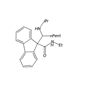 CCCCCC(NC(C)C)C1(C(=O)NCC)c2ccccc2-c2ccccc21